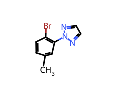 Cc1ccc(Br)c(-n2nccn2)c1